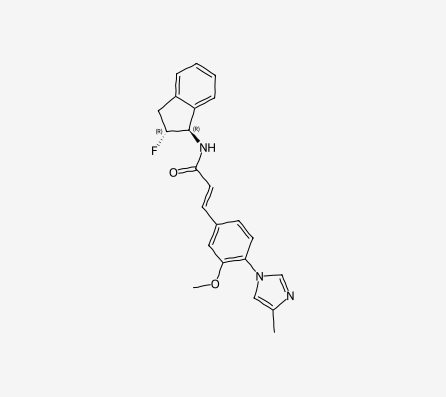 COc1cc(C=CC(=O)N[C@@H]2c3ccccc3C[C@H]2F)ccc1-n1cnc(C)c1